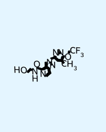 Cc1cc(Cn2cc3c(C(=O)NCCO)nccc3n2)nnc1OCC(F)(F)F